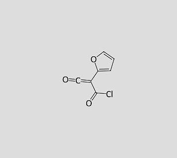 O=C=C(C(=O)Cl)c1ccco1